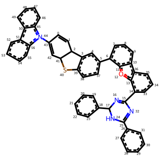 C1=CC2c3cc(-c4cccc5c4oc4c(C6=NC(c7ccccc7)NC(c7ccccc7)=N6)cccc45)ccc3SC2C=C1n1c2ccccc2c2ccccc21